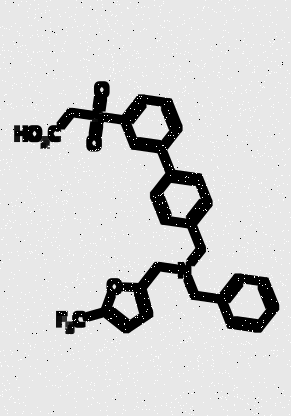 O=C(O)CS(=O)(=O)c1cccc(-c2ccc(CN(Cc3ccccc3)Cc3ccc(C(F)(F)F)o3)cc2)c1